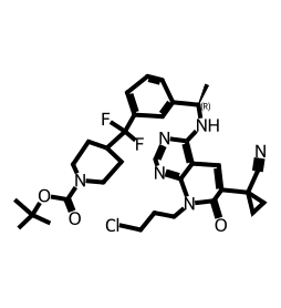 C[C@@H](Nc1ncnc2c1cc(C1(C#N)CC1)c(=O)n2CCCCl)c1cccc(C(F)(F)C2CCN(C(=O)OC(C)(C)C)CC2)c1